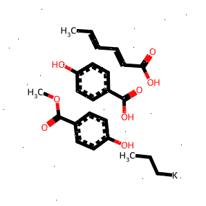 CC=CC=CC(=O)O.CC[CH2][K].COC(=O)c1ccc(O)cc1.O=C(O)c1ccc(O)cc1